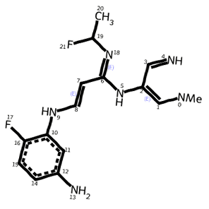 CN/C=C(\C=N)NC(/C=C/Nc1cc(N)ccc1F)=N/C(C)F